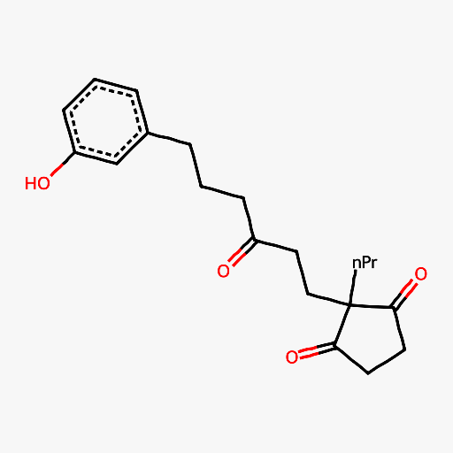 CCCC1(CCC(=O)CCCc2cccc(O)c2)C(=O)CCC1=O